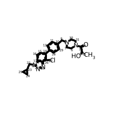 C[C@H](O)C(=O)N1CCN(Cc2ccc(-c3ccc4c(nnn4CC4CC4)c3Cl)cc2)CC1